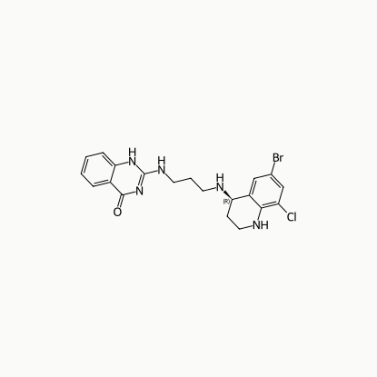 O=c1nc(NCCCN[C@@H]2CCNc3c(Cl)cc(Br)cc32)[nH]c2ccccc12